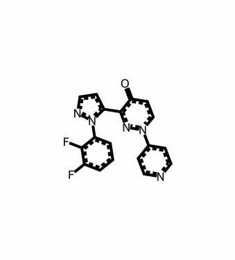 O=c1ccn(-c2ccncc2)nc1-c1ccnn1-c1cccc(F)c1F